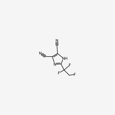 N#Cc1nc(C(F)(F)CF)[nH]c1C#N